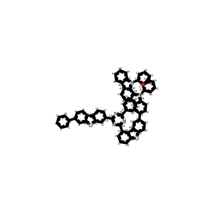 c1ccc(-c2ccc3c(c2)oc2cc(-c4nc(-c5ccccc5)nc(-c5cccc6oc7ccc(-c8ccc9c(c8)c8ccc%10c%11ccccc%11n(-c%11ccccc%11)c%10c8n9-c8ccccc8)cc7c56)n4)ccc23)cc1